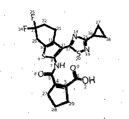 O=C(O)C1=C(C(=O)Nc2sc3c(c2-c2nc(C4CC4)ns2)CCC(F)(F)C3)CCC1